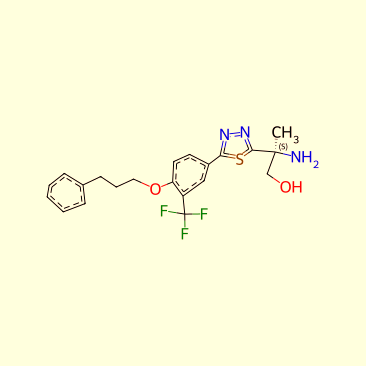 C[C@](N)(CO)c1nnc(-c2ccc(OCCCc3ccccc3)c(C(F)(F)F)c2)s1